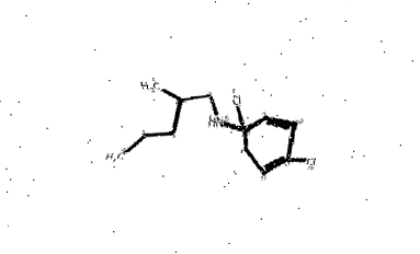 CCCC(C)CNC1(Cl)C=CC(Cl)=CC1